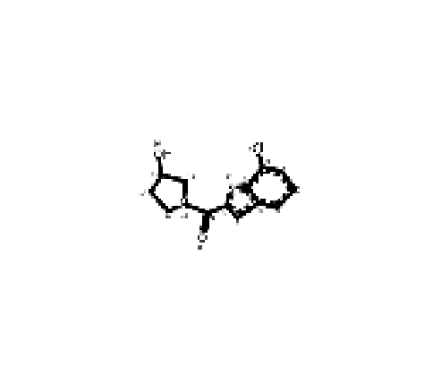 O=C(c1cc2cccc(Cl)c2s1)N1CCC(O)C1